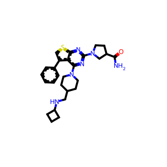 NC(=O)C1CCN(c2nc(N3CCC(CNC4CCC4)CC3)c3c(-c4ccccc4)csc3n2)C1